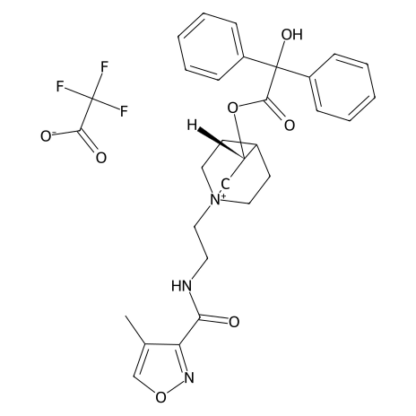 Cc1conc1C(=O)NCC[N+]12CCC(CC1)[C@@H](OC(=O)C(O)(c1ccccc1)c1ccccc1)C2.O=C([O-])C(F)(F)F